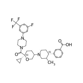 CC1CN(C2CC[C@@](C(=O)N3CCN(c4cc(F)cc(C(F)(F)F)c4)CC3)(C3CC3)OC2)CC[C@@H]1c1cccc(C(=O)O)c1